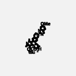 COc1ccc2cnc(N3CCc4cc(-c5c(C)nc(C)c(C(OC(C)(C)C)C(=O)O)c5N5CCC(C)(C)CC5)ccc4C3)nc2c1